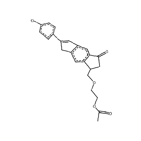 CC(=O)OCCOCC1CC(=O)c2cc3c(cc21)CC(c1ccc(Cl)cc1)=C3